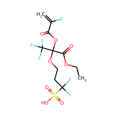 C=C(F)C(=O)OC(OCCC(F)(F)S(=O)(=O)O)(C(=O)OCC)C(F)(F)F